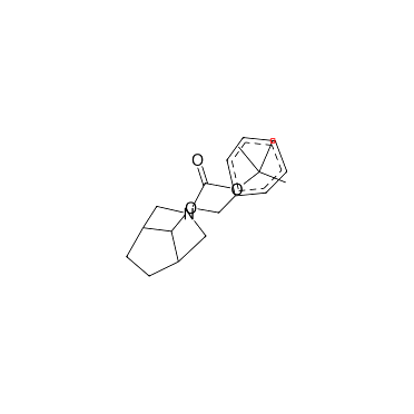 CC(C)(C)OC(=O)N1CC2CCC(C1)C2OCc1ccccc1